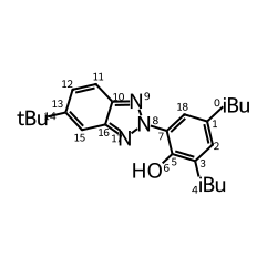 CCC(C)c1cc(C(C)CC)c(O)c(-n2nc3ccc(C(C)(C)C)cc3n2)c1